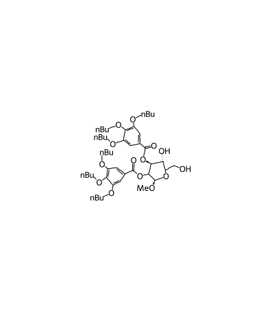 CCCCOc1cc(C(=O)OC2[C@H](OC)OC(CO)[C@@H](O)[C@@H]2OC(=O)c2cc(OCCCC)c(OCCCC)c(OCCCC)c2)cc(OCCCC)c1OCCCC